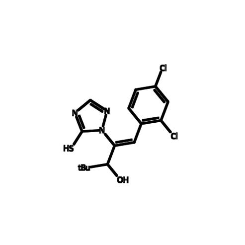 CC(C)(C)C(O)C(=Cc1ccc(Cl)cc1Cl)n1ncnc1S